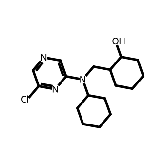 OC1CCCCC1CN(c1cncc(Cl)n1)C1CCCCC1